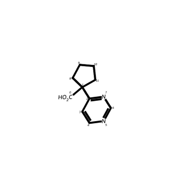 O=C(O)C1(c2ccn[c]n2)CCCC1